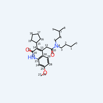 CCCCN(CCC(C)C)C(=O)Cc1c(C2CCCC2)c(=O)[nH]c2cc(OC)ccc12